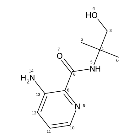 CC(C)(CO)NC(=O)c1ncccc1N